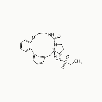 CCS(=O)(=O)N[C@H]1CCN2C(=O)NCCOc3ccccc3-c3cccc(c3)C[C@@H]12